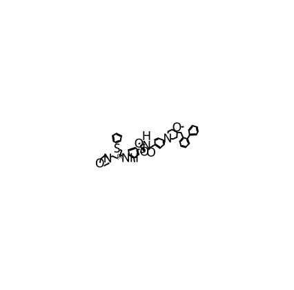 COC1(Cc2ccccc2-c2ccccc2)CCN(c2ccc(C(=O)NS(=O)(=O)c3ccc(N[C@H](CCN4CCOCC4)CSc4ccccc4)c(C)c3)cc2)CC1